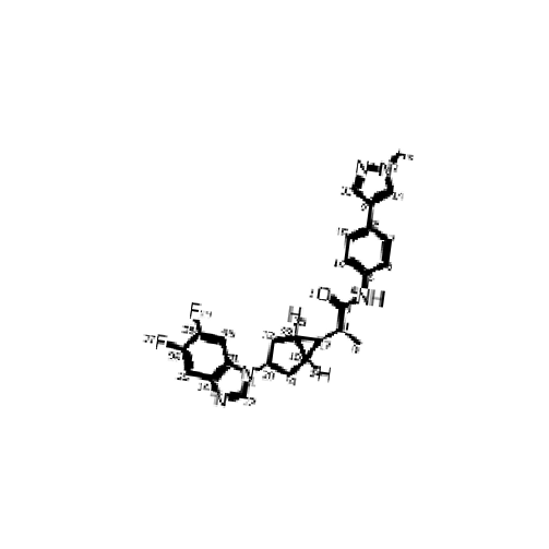 C[C@H](C(=O)Nc1ccc(-c2cnn(C)c2)cc1)[C@H]1[C@@H]2C[C@@H](n3cnc4cc(F)c(F)cc43)C[C@@H]21